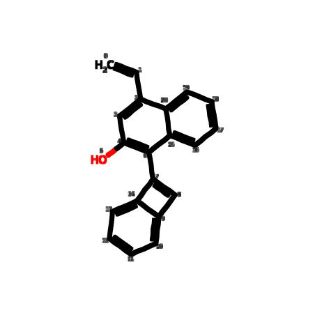 C=Cc1cc(O)c(C2=Cc3ccccc32)c2ccccc12